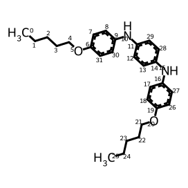 CCCCCOc1ccc(Nc2ccc(Nc3ccc(OCCCCC)cc3)cc2)cc1